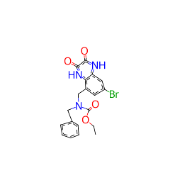 CCOC(=O)N(Cc1ccccc1)Cc1cc(Br)cc2[nH]c(=O)c(=O)[nH]c12